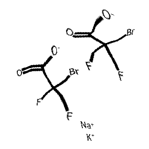 O=C([O-])C(F)(F)Br.O=C([O-])C(F)(F)Br.[K+].[Na+]